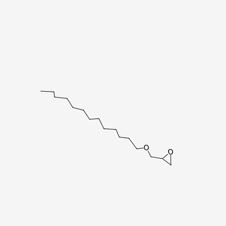 CCCCCCCCCCCCCOCC1CO1